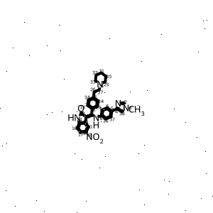 Cn1cnc(-c2ccc(NC(=C3C(=O)Nc4ccc([N+](=O)[O-])cc43)c3ccc(CCN4CCCCC4)cc3)cc2)c1